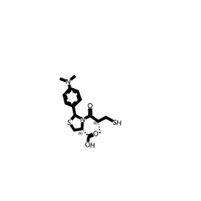 C[C@@H](CS)C(=O)N1C(c2ccc(N(C)C)cc2)SC[C@H]1C(=O)O